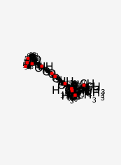 CC[N+]1=c2cc3c(cc2C(C)CC1(C)C)=C(c1ccccc1C(=O)N(C)CCCC(=O)NCCOCCOCCOCCNC(=O)CCC(=O)N1Cc2ccccc2/C=C\c2ccccc21)c1cc2c4c(c1C3(C)C)CCCN4CCC2